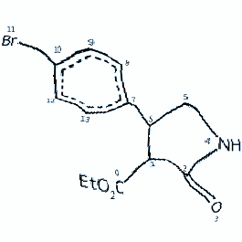 CCOC(=O)C1C(=O)NCC1c1ccc(Br)cc1